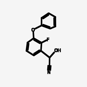 N#CC(O)c1cccc(Oc2ccccc2)c1F